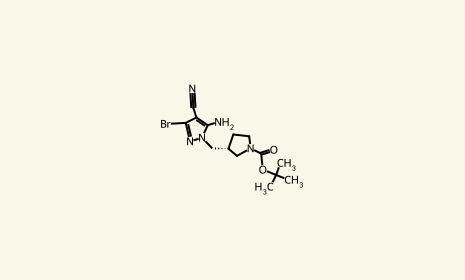 CC(C)(C)OC(=O)N1CC[C@@H](Cn2nc(Br)c(C#N)c2N)C1